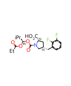 CCC(=O)O[C@H](OC(=O)N1C[C@@H](Cc2cccc(F)c2F)C[C@H]1C(=O)O)C(C)C